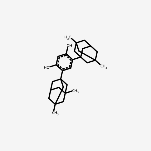 CC12CC3CC(C)(C1)CC(c1cc(C45CC6CC(C)(CC(C)(C6)C4)C5)c(O)cc1O)(C3)C2